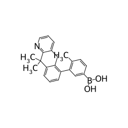 Cc1ccc(B(O)O)cc1-c1cccc2c1Cc1cccnc1C2(C)C